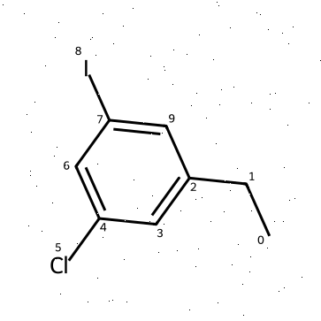 CCc1cc(Cl)cc(I)c1